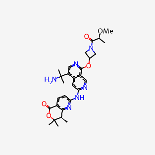 CO[C@@H](C)C(=O)N1CC(Oc2ncc(C(C)(C)N)c3cc(Nc4ccc5c(n4)[C@@H](C)C(C)(C)OC5=O)ncc23)C1